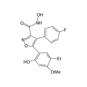 CCc1cc(-c2onc(C(=O)NO)c2-c2ccc(F)cc2)c(O)cc1OC